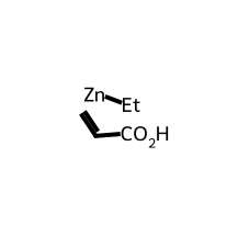 C=CC(=O)O.C[CH2][Zn]